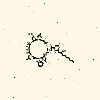 CCCCCCC[C@@H](O)CC(=O)N[C@H](CCN)C(=O)N[C@H]1CCNC(=O)[C@H](CC(C)C)NC(=O)[C@H](CCN)NC(=O)[C@H](C)NC(=O)[C@H](CC(C)C)NC(=O)[C@@H](Cc2ccccc2)NC(=O)[C@H](CCN)NC1=O